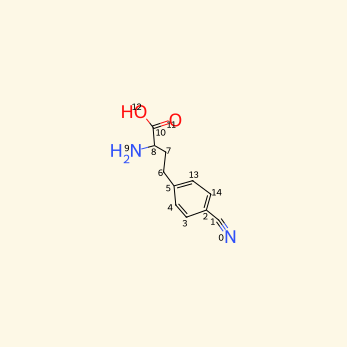 N#Cc1ccc(CCC(N)C(=O)O)cc1